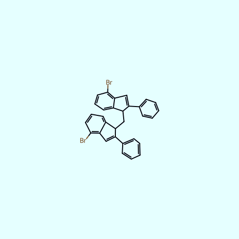 Brc1cccc2c1C=C(c1ccccc1)C2CC1C(c2ccccc2)=Cc2c(Br)cccc21